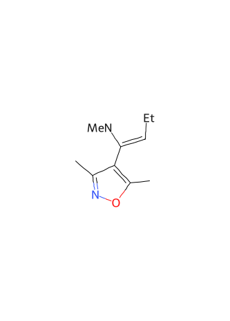 CC/C=C(\NC)c1c(C)noc1C